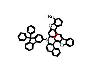 CC(C)(C)c1cccc2c1oc1cc(N(c3ccc4c(c3)-c3ccccc3C4(c3ccccc3)c3ccccc3)c3ccc4ccccc4c3-c3cccc4c3oc3ccccc34)ccc12